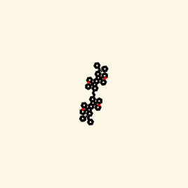 C(=C\c1ccc2c(c1)C(c1ccccc1)(c1ccccc1)c1cc3c(cc1-2)C(c1ccccc1)(c1ccccc1)c1cc(N(c2ccccc2)c2ccccc2)ccc1-3)/c1ccc2c(c1)C(c1ccccc1)(c1ccccc1)c1cc3c(cc1-2)C(c1ccccc1)(c1ccccc1)c1cc(N(c2ccccc2)c2ccccc2)ccc1-3